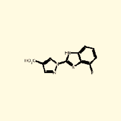 O=C(O)c1cnn(-c2nc3c(F)cccc3[nH]2)c1